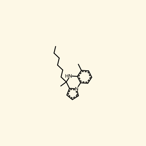 CCCCCCC1(C)Nc2c(C)cccc2-n2cccc21